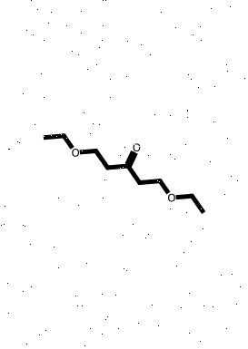 CCOCCC(=O)CCOCC